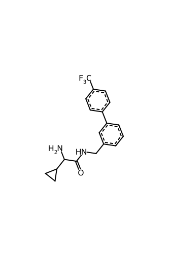 NC(C(=O)NCc1cccc(-c2ccc(C(F)(F)F)cc2)c1)C1CC1